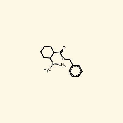 CN(C)C1CCCCC1C(=O)OCc1ccccc1